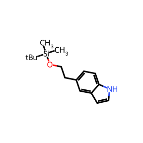 CC(C)(C)[Si](C)(C)OCCc1ccc2[nH]ccc2c1